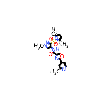 Cc1cc(-c2nc(C(=O)Nc3cn(C)nc3S(=O)(=O)n3c(C)ccc3C)co2)ccn1